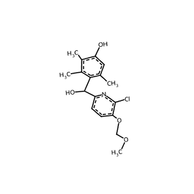 COCOc1ccc(C(O)c2c(C)cc(O)c(C)c2C)nc1Cl